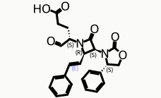 O=C[C@H](CCC(=O)O)N1C(=O)[C@@H](N2C(=O)OC[C@@H]2c2ccccc2)[C@H]1/C=C/c1ccccc1